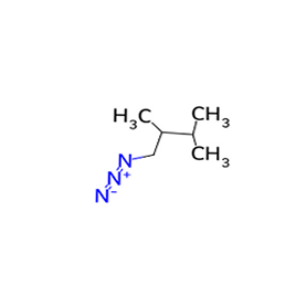 CC(C)C(C)CN=[N+]=[N-]